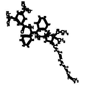 C=C=C=C=C=C=C=C=C=C(CC(=O)NC(c1ccccc1)C(NC(=O)c1cc([N+](=O)[O-])cc([N+](=O)[O-])c1)c1ccccc1)[Si](C)(C)OC